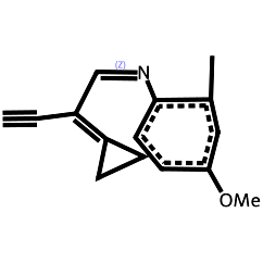 C#CC(/C=N\c1ccc(OC)cc1C)=C1CC1